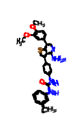 COc1ccc(-c2cnc(N)c3c(-c4ccc(NC(=O)Nc5cccc(C)c5)cc4)csc23)cc1OC